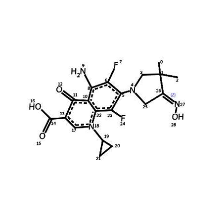 CC1(C)CN(c2c(F)c(N)c3c(=O)c(C(=O)O)cn(C4CC4)c3c2F)C/C1=N\O